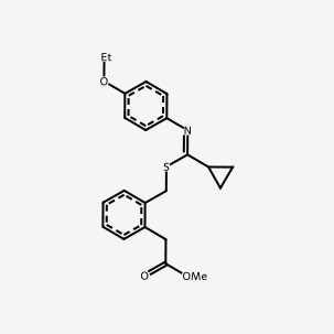 CCOc1ccc(N=C(SCc2ccccc2CC(=O)OC)C2CC2)cc1